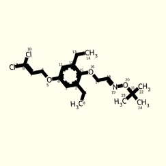 CCc1cc(OCC=C(Cl)Cl)cc(CC)c1OC/C=N/OC(C)(C)C